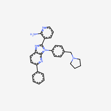 Nc1ncccc1-c1nc2ccc(-c3ccccc3)nc2n1-c1ccc(CN2CCCC2)cc1